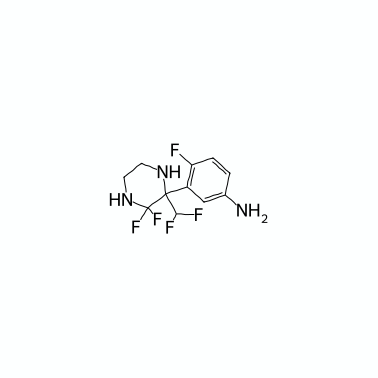 Nc1ccc(F)c(C2(C(F)F)NCCNC2(F)F)c1